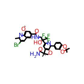 COc1cc(C(=O)NC[C@](O)(c2cc3c(c(-c4ccc5c(c4)OC(C)(C)O5)n2)OC[C@]3(C)C(N)=O)C(F)(F)F)cc2cc(Br)c(C)nc12